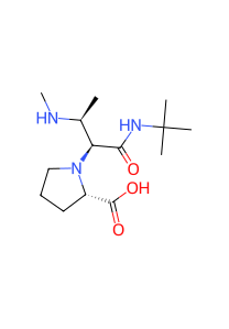 CN[C@@H](C)[C@@H](C(=O)NC(C)(C)C)N1CCC[C@H]1C(=O)O